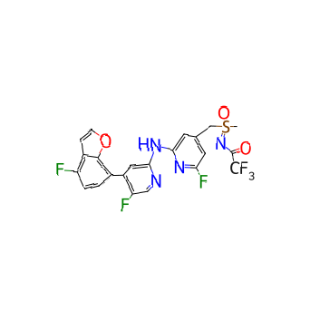 CS(=O)(Cc1cc(F)nc(Nc2cc(-c3ccc(F)c4ccoc34)c(F)cn2)c1)=NC(=O)C(F)(F)F